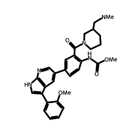 CNCC1CCCN(C(=O)c2cc(-c3cnc4[nH]cc(-c5ccccc5OC)c4c3)ccc2NC(=O)OC)C1